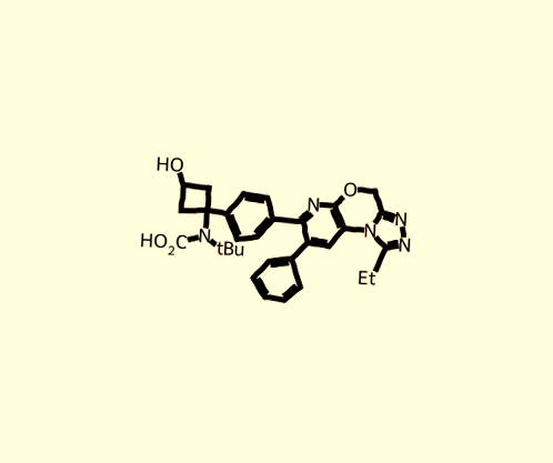 CCc1nnc2n1-c1cc(-c3ccccc3)c(-c3ccc(C4(N(C(=O)O)C(C)(C)C)CC(O)C4)cc3)nc1OC2